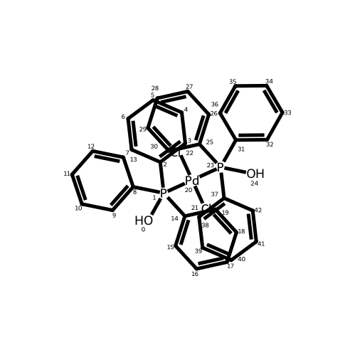 O[P](c1ccccc1)(c1ccccc1)(c1ccccc1)[Pd]([Cl])([Cl])[P](O)(c1ccccc1)(c1ccccc1)c1ccccc1